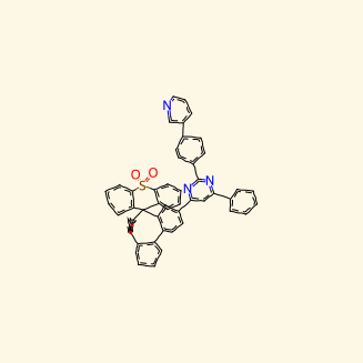 O=S1(=O)c2ccccc2C2(c3ccccc3-c3ccccc3-c3ccc(-c4cc(-c5ccccc5)nc(-c5ccc(-c6cccnc6)cc5)n4)cc32)c2ccccc21